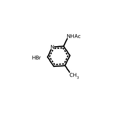 Br.CC(=O)Nc1cc(C)ccn1